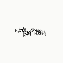 CC(C)c1cnnc(Nc2ccc3ncc(-n4cnc(CCNC(=O)OC(C)(C)C)c4)cc3n2)c1